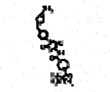 CC(C)(N)C(=O)N1CCCN(C(=O)Nc2ccn(-c3ccc(CN4CC5C(N)C5C4)cc3)c(=O)n2)CC1.Cl